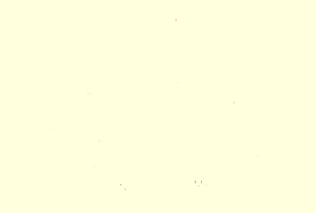 COC(=O)C(=CC1CCCCC1)c1ccc(S(C)(=O)=O)c([N+](=O)[O-])c1